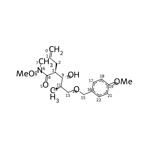 C=CC[C@H](C(=O)N(C)OC)[C@H](O)[C@H](C)COCc1ccc(OC)cc1